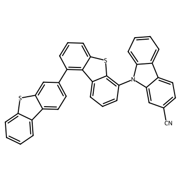 N#Cc1ccc2c3ccccc3n(-c3cccc4c3sc3cccc(-c5ccc6c(c5)sc5ccccc56)c34)c2c1